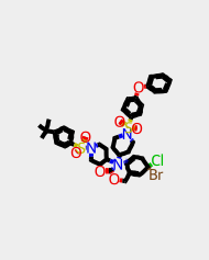 CC(C)(C)c1ccc(S(=O)(=O)N2CCC([N+]3(C4CCN(S(=O)(=O)c5ccc(Oc6ccccc6)cc5)CC4)C(=O)OCC4=CC(Cl)(Br)CC=C43)CC2)cc1